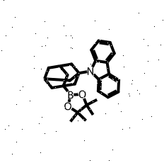 CC1(C)OB(C23CC4CC(C2)CC(n2c5ccccc5c5ccccc52)(C4)C3)OC1(C)C